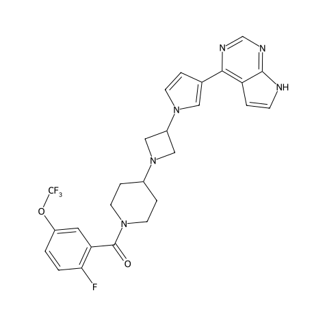 O=C(c1cc(OC(F)(F)F)ccc1F)N1CCC(N2CC(n3ccc(-c4ncnc5[nH]ccc45)c3)C2)CC1